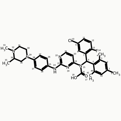 Cc1cc(C)c(C(c2cc(Cl)ccc2F)N(C(=O)O)c2ccnc(Nc3ccc(N4CCN(C)C(C)C4)cc3)n2)c(C)c1